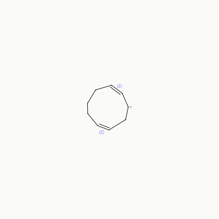 [CH]1/C=C\CCC/C=C\C1